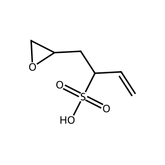 C=CC(CC1CO1)S(=O)(=O)O